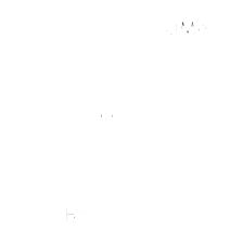 COc1cccc(COc2cccc(Br)c2)c1